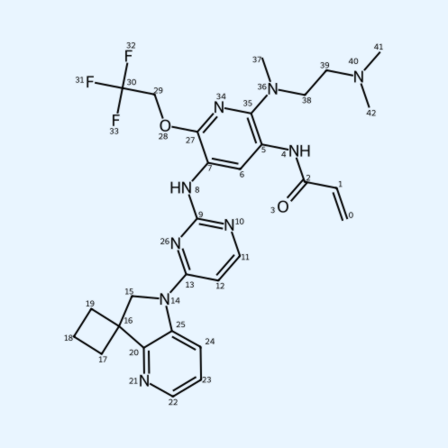 C=CC(=O)Nc1cc(Nc2nccc(N3CC4(CCC4)c4ncccc43)n2)c(OCC(F)(F)F)nc1N(C)CCN(C)C